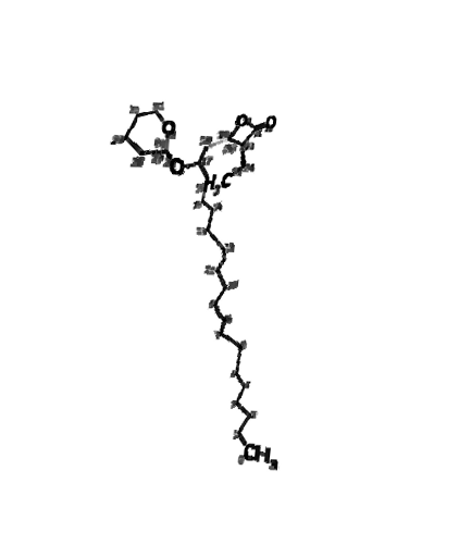 CCCCCCCCCCCCCCCCCC(C[C@@H]1OC(=O)[C@H]1CC)O[C@H]1CCCCO1